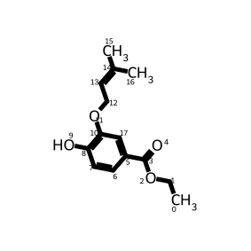 CCOC(=O)c1ccc(O)c(OCC=C(C)C)c1